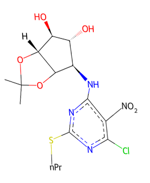 CCCSc1nc(Cl)c([N+](=O)[O-])c(N[C@H]2C3OC(C)(C)O[C@@H]3[C@@H](O)[C@@H]2O)n1